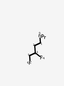 CCCCC[C](F)CF